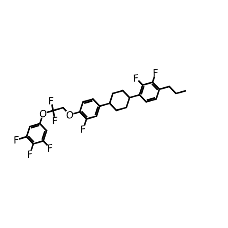 CCCc1ccc(C2CCC(c3ccc(OCC(F)(F)Oc4cc(F)c(F)c(F)c4)c(F)c3)CC2)c(F)c1F